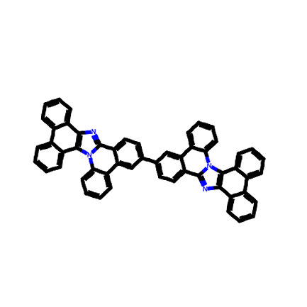 c1ccc2c(c1)c1ccccc1c1c2nc2c3ccc(-c4ccc5c(c4)c4ccccc4n4c5nc5c6ccccc6c6ccccc6c54)cc3c3ccccc3n21